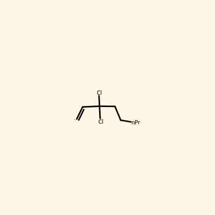 [CH]=CC(Cl)(Cl)CCCCC